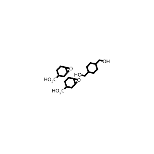 O=C(O)C1CCC2OC2C1.O=C(O)C1CCC2OC2C1.OCC1CCC(CO)CC1